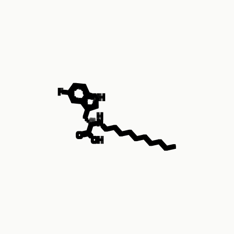 CCCCCCCCCCN[C@@H](Cc1c[nH]c2ccc(F)cc12)C(=O)O